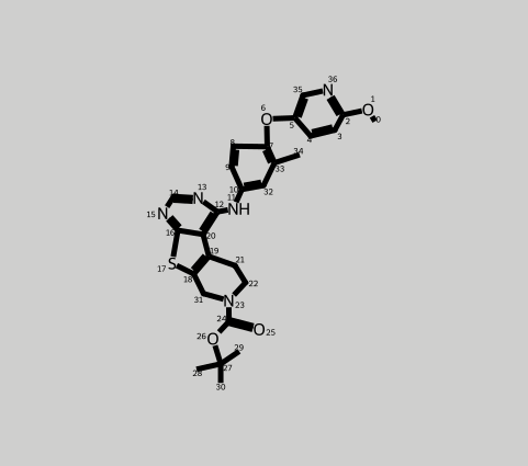 COc1ccc(Oc2ccc(Nc3ncnc4sc5c(c34)CCN(C(=O)OC(C)(C)C)C5)cc2C)cn1